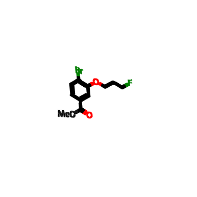 COC(=O)c1ccc(Br)c(OCCCF)c1